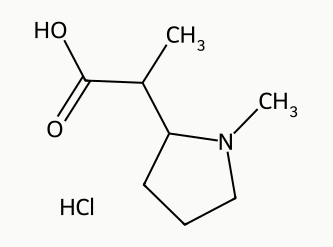 CC(C(=O)O)C1CCCN1C.Cl